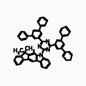 CC1(C)c2ccccc2-c2cc3c4ccccc4n(-c4nc(-c5cc(C6=CCCC=C6)cc(-c6ccccc6)c5)nc(-c5cc(-c6ccccc6)cc(-c6ccccc6)c5)n4)c3cc21